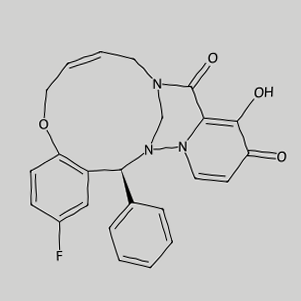 O=C1c2c(O)c(=O)ccn2N2CN1C/C=C\COc1ccc(F)cc1[C@@H]2c1ccccc1